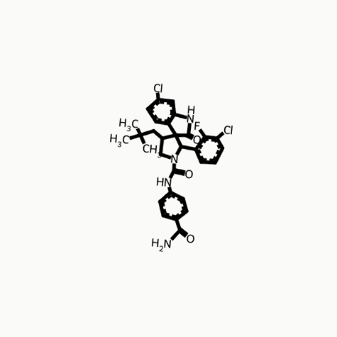 CC(C)(C)CC1CN(C(=O)Nc2ccc(C(N)=O)cc2)C(c2cccc(Cl)c2F)C12C(=O)Nc1cc(Cl)ccc12